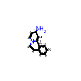 NC1C=CN2C=Cc3ccccc3C2=C1